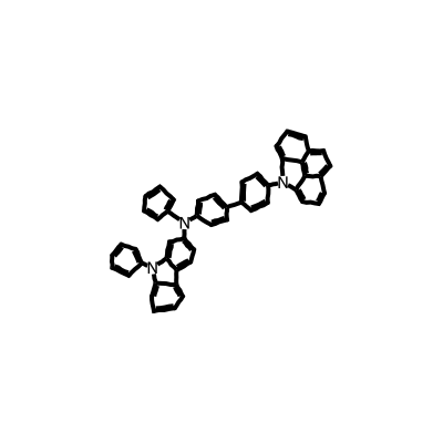 c1ccc(N(c2ccc(-c3ccc(-n4c5cccc6ccc7cccc4c7c65)cc3)cc2)c2ccc3c4ccccc4n(-c4ccccc4)c3c2)cc1